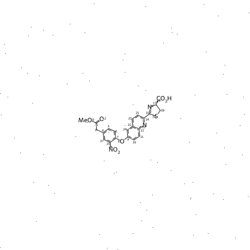 COC(=O)Cc1ccc(Oc2ccc3nc(C4=N[C@@H](C(=O)O)CS4)ccc3c2)c([N+](=O)[O-])c1